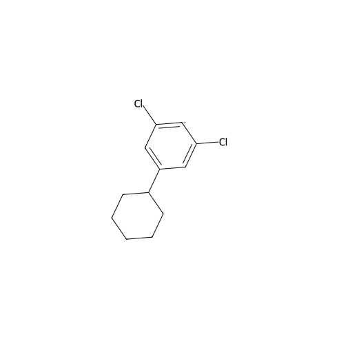 Clc1[c]c(Cl)cc(C2CCCCC2)c1